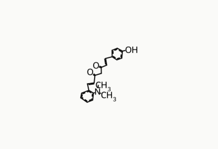 CN(C)c1ccccc1C=CC(=O)CC(=O)C=Cc1ccc(O)cc1